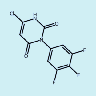 O=c1cc(Cl)[nH]c(=O)n1-c1cc(F)c(F)c(F)c1